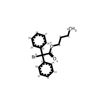 CCCCOC(=O)C(Br)(c1ccccc1)c1ccccc1